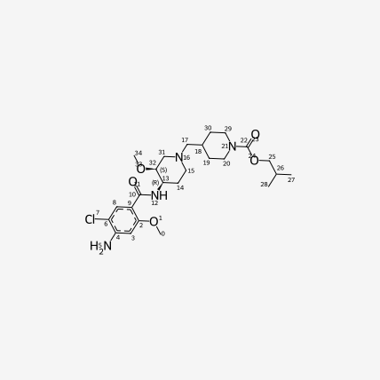 COc1cc(N)c(Cl)cc1C(=O)N[C@@H]1CCN(CC2CCN(C(=O)OCC(C)C)CC2)C[C@@H]1OC